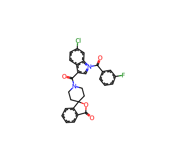 O=C1OC2(CCN(C(=O)c3cn(C(=O)c4cccc(F)c4)c4cc(Cl)ccc34)CC2)c2ccccc21